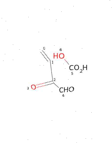 C=CC(=O)C=O.O=C(O)O